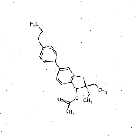 CCCc1ccc(-c2ccc3c(c2)CC(CC)(CC)C3OC(N)=O)cc1